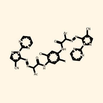 CC(=O)C(N=Nc1c(C#N)cnn1-c1ncccn1)C(=O)Nc1cc(I)c(NC(=O)C(N=Nc2c(C#N)cnn2-c2ncccn2)C(C)=O)cc1Cl